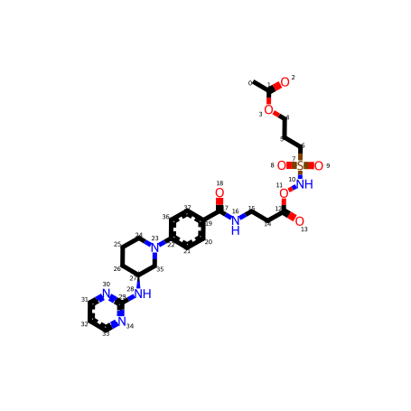 CC(=O)OCCCS(=O)(=O)NOC(=O)CCNC(=O)c1ccc(N2CCC[C@H](Nc3ncccn3)C2)cc1